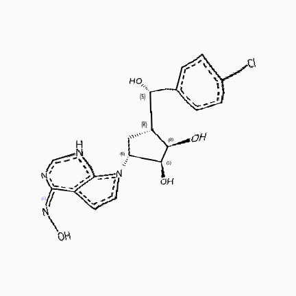 O/N=c1/nc[nH]c2c1ccn2[C@@H]1C[C@H]([C@H](O)c2ccc(Cl)cc2)[C@@H](O)[C@H]1O